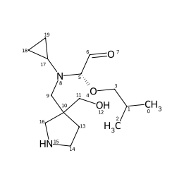 CC(C)CO[C@@H](C=O)N(CC1(CO)CCNC1)C1CC1